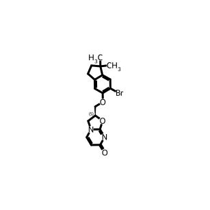 CC1(C)CCc2cc(OC[C@@H]3Cn4ccc(=O)nc4O3)c(Br)cc21